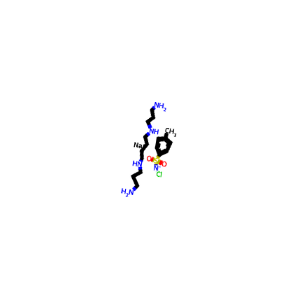 Cc1ccc(S(=O)(=O)[N-]Cl)cc1.NCCCNCCCCNCCCN.[Na+]